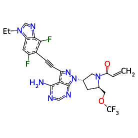 C=CC(=O)N1C[C@@H](n2nc(C#Cc3c(F)cc4c(ncn4CC)c3F)c3c(N)ncnc32)C[C@@H]1COC(F)(F)F